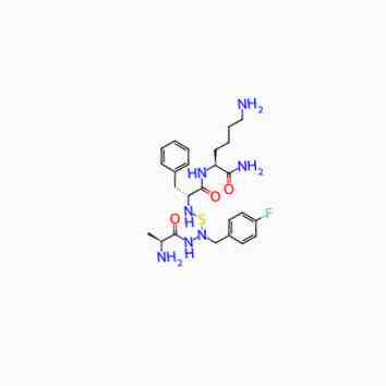 C[C@H](N)C(=O)NN(Cc1ccc(F)cc1)SN[C@H](Cc1ccccc1)C(=O)N[C@@H](CCCCN)C(N)=O